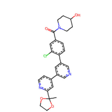 CC1(c2cc(-c3cncc(-c4ccc(C(=O)N5CCC(O)CC5)cc4Cl)c3)ccn2)OCCO1